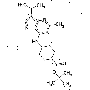 Cc1cc(NC2CCN(C(=O)OC(C)(C)C)CC2)c2ncc(C(C)C)n2n1